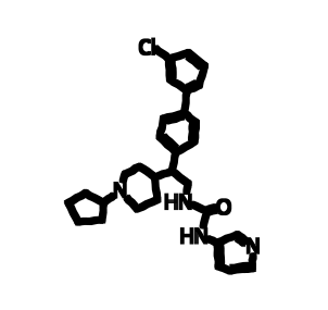 O=C(NCC(c1ccc(-c2cccc(Cl)c2)cc1)C1CCN(C2CCCC2)CC1)Nc1cccnc1